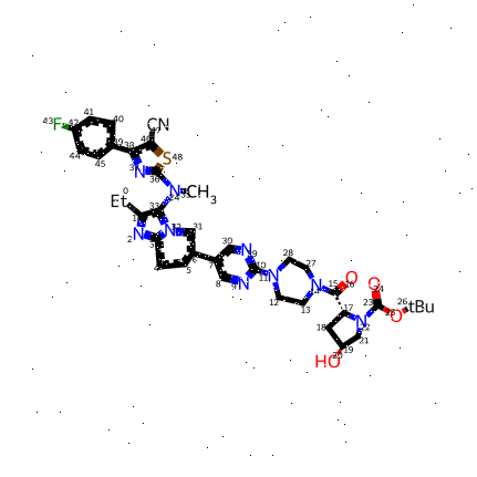 CCc1nc2ccc(-c3cnc(N4CCN(C(=O)[C@H]5C[C@H](O)CN5C(=O)OC(C)(C)C)CC4)nc3)cn2c1N(C)c1nc(-c2ccc(F)cc2)c(C#N)s1